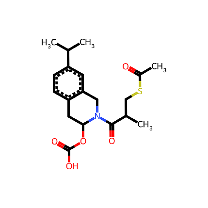 CC(=O)SCC(C)C(=O)N1Cc2cc(C(C)C)ccc2CC1OC(=O)O